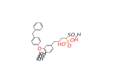 O=P(O)(O)C(CCCc1cccc(Oc2ccc(Cc3ccccc3)cc2)c1)S(=O)(=O)O.[KH].[KH].[KH]